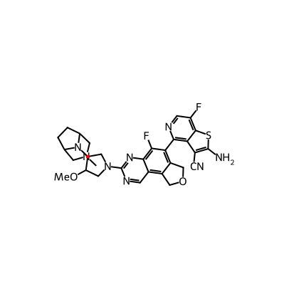 COC1CN(c2ncc3c4c(c(-c5ncc(F)c6sc(N)c(C#N)c56)c(F)c3n2)COC4)CC1N1C2CCC1CN(C)C2